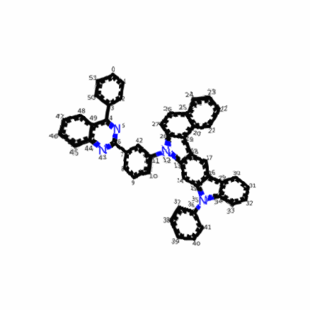 c1ccc(-c2nc(-c3cccc(-n4c5cc6c(cc5c5c7ccccc7ccc54)c4ccccc4n6-c4ccccc4)c3)nc3ccccc23)cc1